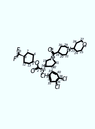 CN(C(=O)O[C@H]1CC[C@H](C(F)F)CC1)[C@@H]1CN(C(=O)C2CCN(C3CCOCC3)CC2)C[C@@H]1c1ccc(Cl)c(Cl)c1